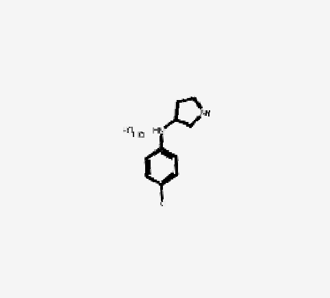 Cl.Cl.Clc1ccc(NC2CCNC2)cc1